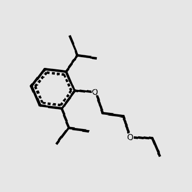 CCOCCOc1c(C(C)C)cccc1C(C)C